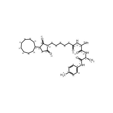 Cc1ccc(NC(=O)[C@H](C)NC(=O)C(NC(=O)CCCCCN2C(=O)CC(C3CCCCCCCC3)C2=O)C(C)C)cc1